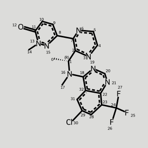 C[C@H](c1nccnc1-c1ccc(=O)n(C)n1)N(C)c1ncnc2c(C(F)(F)F)cc(Cl)cc12